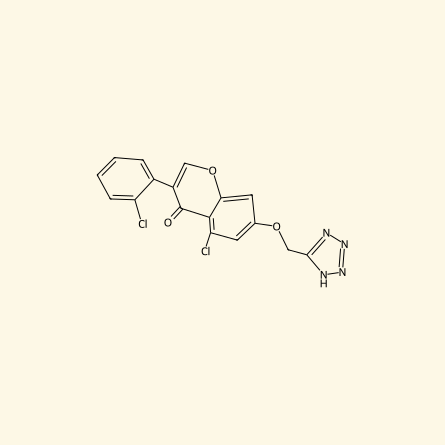 O=c1c(-c2ccccc2Cl)coc2cc(OCc3nnn[nH]3)cc(Cl)c12